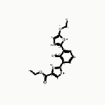 CCOC(=O)c1coc(-c2cccc(-c3ncc(OCC)o3)c2Br)n1